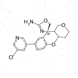 NC1=N[C@@]2(CO1)c1cc(-c3cncc(Cl)c3)ccc1OC1CCOCC12